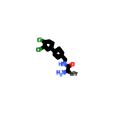 CCCC(N)C(=O)NCc1ccc(-c2ccc(Cl)c(Cl)c2)cc1